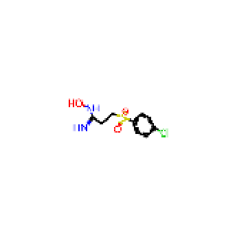 N=C(CCS(=O)(=O)c1ccc(Cl)cc1)NO